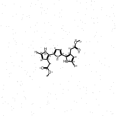 COC(=O)CC1=C(c2ccc(C3=C(CC(=O)OC)C=C(I)B3)s2)BC(I)=C1